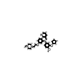 COc1ccc(N(Cc2cccnc2)c2cccc(OCCN3CCN(C)CC3)c2)cc1OC1CCCC1